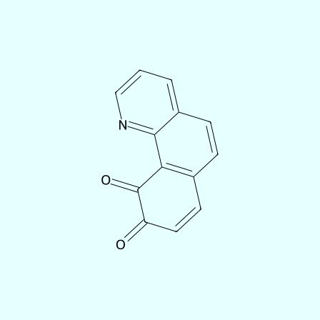 O=C1C=Cc2ccc3cccnc3c2C1=O